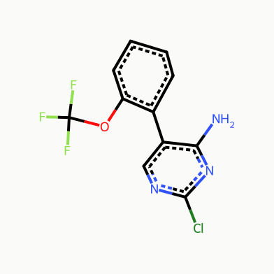 Nc1nc(Cl)ncc1-c1ccccc1OC(F)(F)F